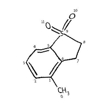 Cc1cccc2c1CCS2(=O)=O